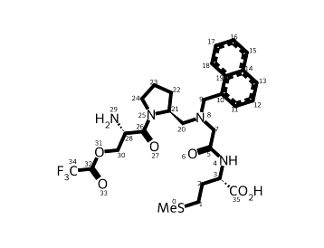 CSCC[C@H](NC(=O)CN(Cc1cccc2ccccc12)C[C@@H]1CCCN1C(=O)[C@@H](N)COC(=O)C(F)(F)F)C(=O)O